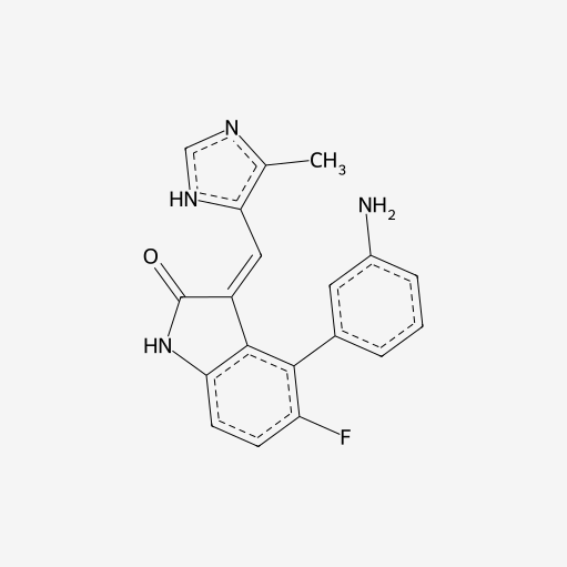 Cc1nc[nH]c1/C=C1\C(=O)Nc2ccc(F)c(-c3cccc(N)c3)c21